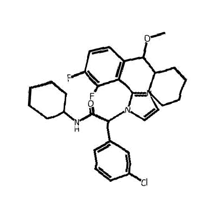 COC(c1ccc(F)c(F)c1-c1nccn1C(C(=O)NC1CCCCC1)c1cccc(Cl)c1)C1CCCCC1